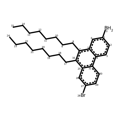 Bc1ccc2c(c1)c(CCCCCCCC)c(CCCCCCCC)c1cc(Br)ccc12